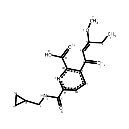 C=C(/C=C(\CC)OC)c1ccc(C(=O)NCC2CC2)nc1C(=O)O